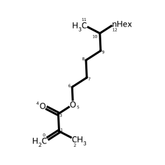 C=C(C)C(=O)OCCCCC(C)CCCCCC